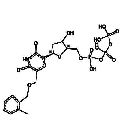 Cc1ccccc1COCc1cn([C@H]2CC(O)[C@@H](COP(=O)(O)OP(=O)(O)OP(=O)(O)O)O2)c(=O)[nH]c1=O